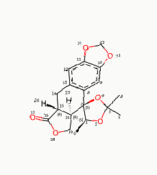 C[C@@H]1OC(C)(C)O[C@@]12c1cc3c(cc1C[C@H]1C(=O)OC[C@@H]12)OCO3